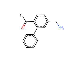 CCC(=O)c1ccc(CN)cc1-c1ccccc1